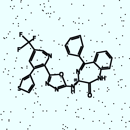 O=C1Nc2ccccc2C(c2ccccc2)=N[C@@H]1Nc1nnc(-c2ncc(C(F)(F)F)cc2-c2ccsc2)o1